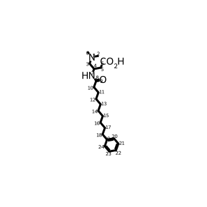 CN(C)CC(CC(=O)O)NC(=O)CCCCCCCCCc1ccccc1